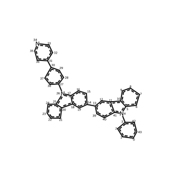 c1ccc(-n2c3ccccc3c3cc(-c4ccc5c(c4)c4ccccc4n5-c4ccc(-c5ccncc5)cc4)ccc32)cc1